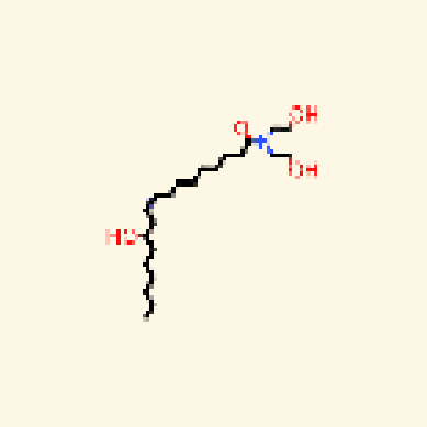 CCCCCC[C@@H](O)C/C=C\CCCCCCCC(=O)N(CCO)CCO